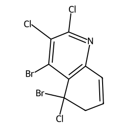 Clc1nc2c(c(Br)c1Cl)C(Cl)(Br)CC=C2